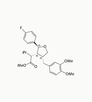 COC(=O)C(C(C)C)[C@H]1[C@@H](Cc2ccc(OC)c(OC)c2)CO[C@@H]1c1ccc(F)cc1